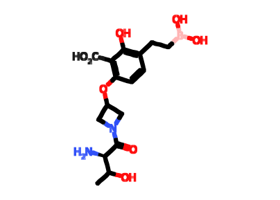 CC(O)[C@@H](N)C(=O)N1CC(Oc2ccc(CCB(O)O)c(O)c2C(=O)O)C1